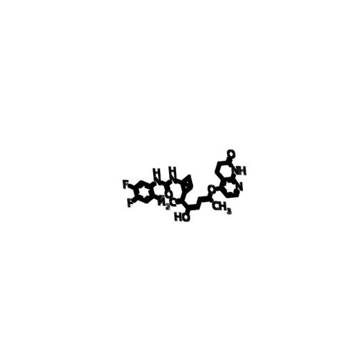 C=C(/C(O)=C\C=C(/C)Oc1ccnc2c1CCC(=O)N2)C1C2CC21NC(=O)Nc1cc(F)c(F)cc1F